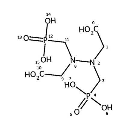 O=C(O)CN(CP(=O)(O)O)N(CC(=O)O)CP(=O)(O)O